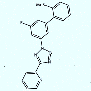 CSc1ccccc1-c1cc(F)cc(-n2nnc(-c3ccccn3)n2)c1